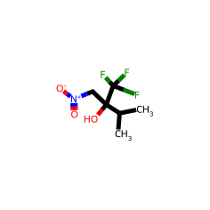 CC(C)C(O)(C[N+](=O)[O-])C(F)(F)F